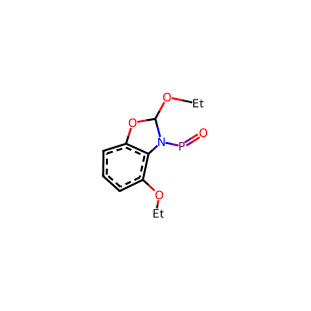 CCOc1cccc2c1N(P=O)C(OCC)O2